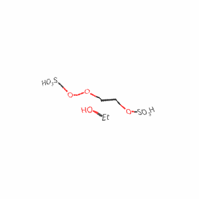 CCO.O=S(=O)(O)OCCOOS(=O)(=O)O